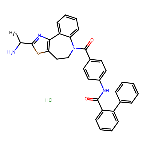 CC(N)c1nc2c(s1)CCN(C(=O)c1ccc(NC(=O)c3ccccc3-c3ccccc3)cc1)c1ccccc1-2.Cl